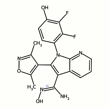 Cc1noc(C)c1-c1c(/C(N)=N/O)c2cccnc2n1-c1ccc(O)c(F)c1F